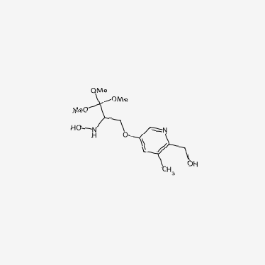 COC(OC)(OC)C(COc1cnc(CO)c(C)c1)NO